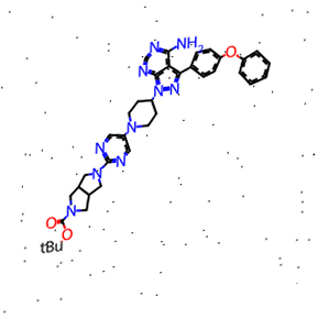 CC(C)(C)OC(=O)N1CC2CN(c3ncc(N4CCC(n5nc(-c6ccc(Oc7ccccc7)cc6)c6c(N)ncnc65)CC4)cn3)CC2C1